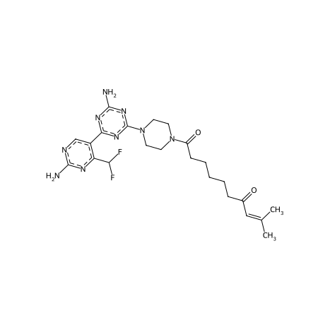 CC(C)=CC(=O)CCCCCC(=O)N1CCN(c2nc(N)nc(-c3cnc(N)nc3C(F)F)n2)CC1